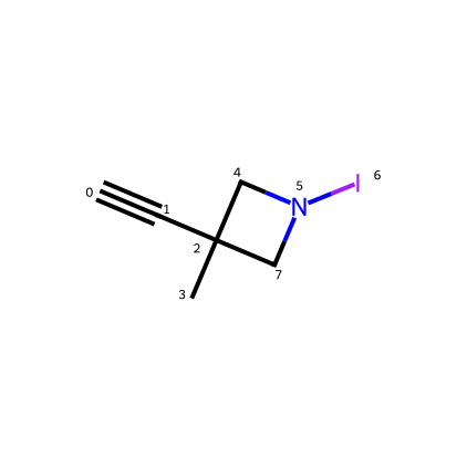 C#CC1(C)CN(I)C1